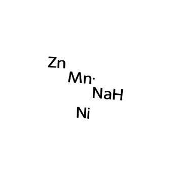 [Mn].[NaH].[Ni].[Zn]